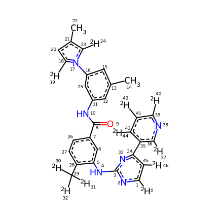 [2H]c1nc(Nc2cc(C(=O)Nc3cc(C)cc(-n4c([2H])cc(C)c4[2H])c3)ccc2C([2H])([2H])[2H])nc(-c2c([2H])nc([2H])c([2H])c2[2H])c1[2H]